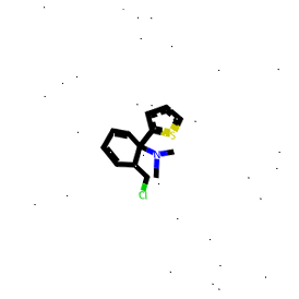 CN(C)C1(c2cccs2)C=CC=CC1CCl